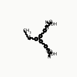 CCCCCCc1ccc(/C=C/c2ccc(N(c3ccc(/C=C/c4ccc(-c5ccc(/C=C(/C#N)C(=O)O)s5)cc4)cc3)c3ccc(/C=C/c4ccc(-c5ccc(/C=C(\C#N)C(=O)O)s5)cc4)cc3)cc2)s1